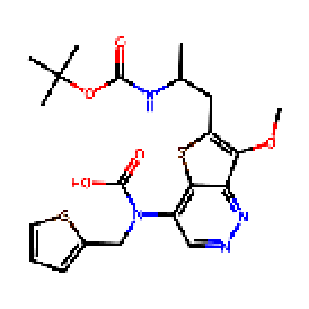 COc1c(CC(C)NC(=O)OC(C)(C)C)sc2c(N(Cc3cccs3)C(=O)O)cnnc12